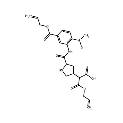 C=CCOC(=O)c1ccc([S+](C)[O-])c(NC(=O)C2CC(C(C(=O)OCC=C)C(O)=S)CN2)c1